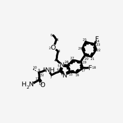 CCOCCn1c(CN[C@@H](C)C(N)=O)nc2cc(F)c(-c3ccc(F)cc3)cc21